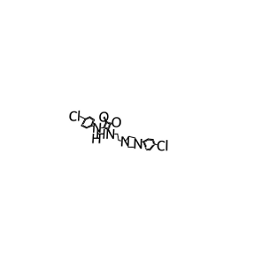 O=c1c(NCCN2CCN(c3ccc(Cl)cc3)CC2)c(Nc2ccc(Cl)cc2)c1=O